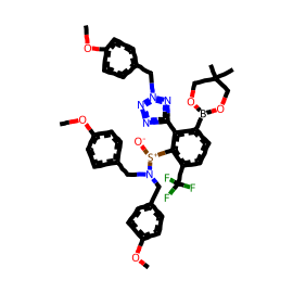 COc1ccc(CN(Cc2ccc(OC)cc2)[S+]([O-])c2c(C(F)(F)F)ccc(B3OCC(C)(C)CO3)c2-c2nnn(Cc3ccc(OC)cc3)n2)cc1